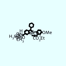 CCOC(=O)[C@](C)(Cc1cc(OC)ccc1Br)Cn1cc(C2CCCCC2)c2ccc(C(=O)NS(=O)(=O)N(C)C)cc21